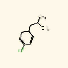 CC(C)CC1C=CC(Cl)=CC1